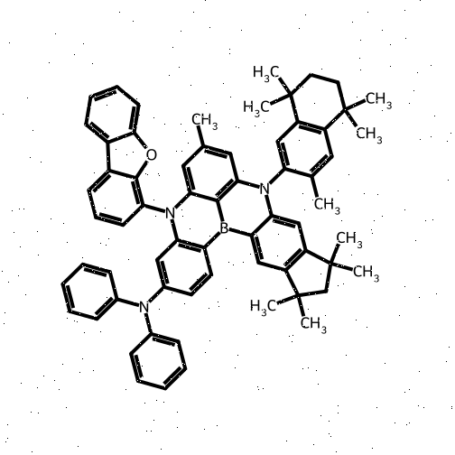 Cc1cc2c3c(c1)N(c1cccc4c1oc1ccccc14)c1cc(N(c4ccccc4)c4ccccc4)ccc1B3c1cc3c(cc1N2c1cc2c(cc1C)C(C)(C)CCC2(C)C)C(C)(C)CC3(C)C